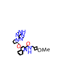 COC1CC(CNC(=O)c2cc(OC[C@H]3CCCN3c3ncnc4[nH]cnc34)c3ccccc3n2)C1